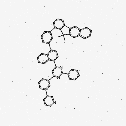 CC1(C)c2cc3ccccc3cc2-c2cccc(-c3cccc(-c4ccc(-c5cc(-c6cccc(-c7cccnc7)c6)nc(-c6ccccc6)n5)c5ccccc45)c3)c21